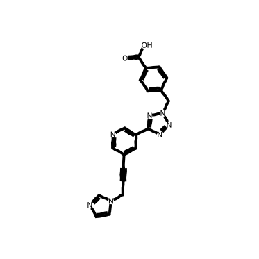 O=C(O)c1ccc(Cn2nnc(-c3cncc(C#CCn4ccnc4)c3)n2)cc1